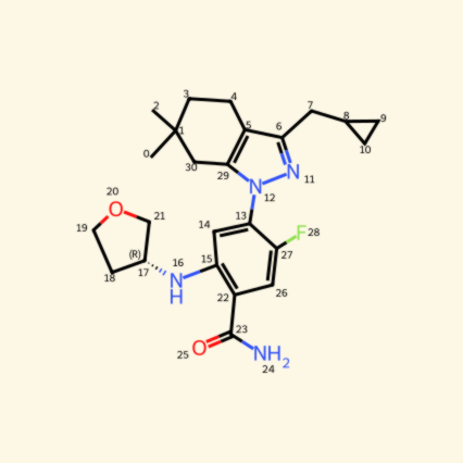 CC1(C)CCc2c(CC3CC3)nn(-c3cc(N[C@@H]4CCOC4)c(C(N)=O)cc3F)c2C1